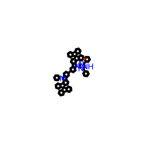 c1ccc(C2=NC(n3c4ccc(-c5ccc6c(c5)c5ccc7c(c5n6-c5ccccc5)-c5ccccc5C75c6ccccc6-c6ccccc65)cc4c4ccc5c(c43)-c3ccccc3C53c4ccccc4-c4ccccc43)=NC(c3ccccc3)N2)cc1